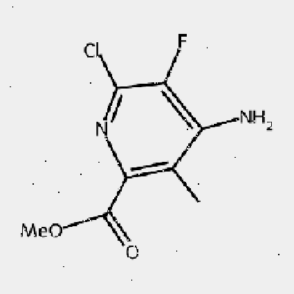 COC(=O)c1nc(Cl)c(F)c(N)c1C